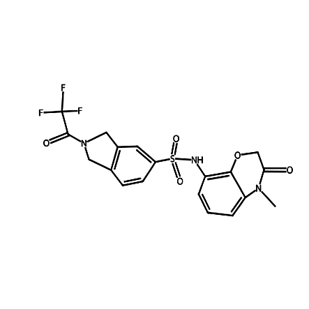 CN1C(=O)COc2c(NS(=O)(=O)c3ccc4c(c3)CN(C(=O)C(F)(F)F)C4)cccc21